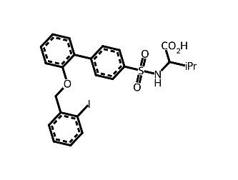 CC(C)C(NS(=O)(=O)c1ccc(-c2ccccc2OCc2ccccc2I)cc1)C(=O)O